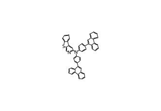 c1ccc2c(c1)cc(-c1ccc(N(c3ccc(-c4cc5ccccc5c5ccccc45)cc3)c3cc4c(cn3)sc3ccccc34)cc1)c1ccccc12